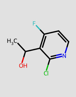 CC(O)c1c(F)ccnc1Cl